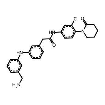 NCc1cccc(Nc2cccc(CC(=O)Nc3ccc(N4CCCCC4=O)c(Cl)c3)c2)c1